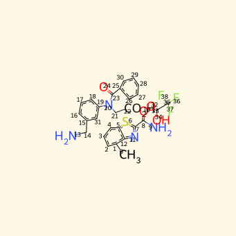 Cc1cccc2sc(C(N)=O)nc12.NCc1cccc(N(CC(=O)O)C(=O)c2ccccc2)c1.O=C(O)C(F)(F)F